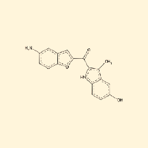 Cc1c(C(=O)c2cc3cc(N)ccc3o2)[nH]c2ccc(O)cc12